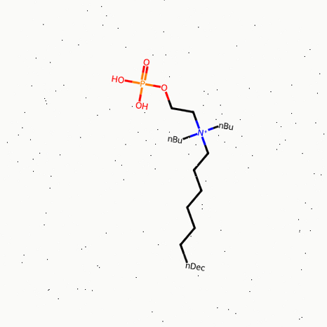 CCCCCCCCCCCCCCCC[N+](CCCC)(CCCC)CCOP(=O)(O)O